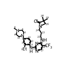 CCc1cc(N2CCN(C)CC2)ccc1Nc1ncc(C(F)(F)F)c(NCCCN2CC(C)(C)C2=O)n1